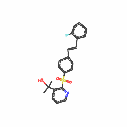 CC(C)(O)c1cccnc1S(=O)(=O)c1ccc(C=Cc2ccccc2F)cc1